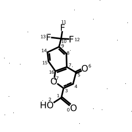 O=C(O)c1cc(=O)c2cc(C(F)(F)F)ccc2o1